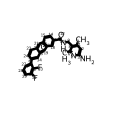 Cc1cc(N)nc(C)c1CNC(=O)c1ccc2c(c1)c1oc2c2ccc(-c3cccc(F)c3F)cc21